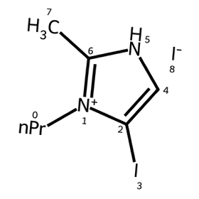 CCC[n+]1c(I)c[nH]c1C.[I-]